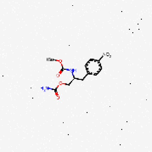 CC(C)(C)OC(=O)N[C@H](COC(N)=O)Cc1ccc([N+](=O)[O-])cc1